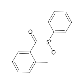 Cc1ccccc1C(=O)[S+]([O-])c1ccccc1